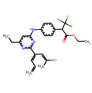 C=C/C=C(\C=C(/C)Cl)c1nc(CC)cc(Nc2ccc(C(C(=O)OCC)C(F)(F)F)cc2)n1